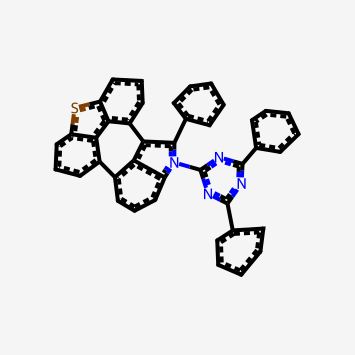 c1ccc(-c2nc(-c3ccccc3)nc(-n3c(-c4ccccc4)c4c5c(cccc53)-c3cccc5sc6cccc-4c6c35)n2)cc1